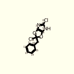 Clc1nc2c([nH]1)OC(Cl)(Cc1ccccc1)O2